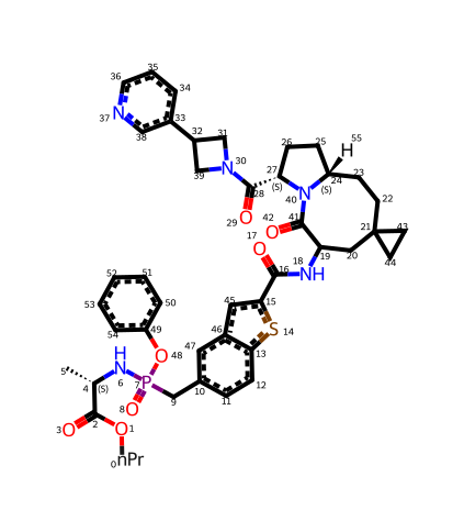 CCCOC(=O)[C@H](C)NP(=O)(Cc1ccc2sc(C(=O)NC3CC4(CC[C@H]5CC[C@@H](C(=O)N6CC(c7cccnc7)C6)N5C3=O)CC4)cc2c1)Oc1ccccc1